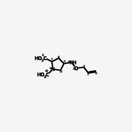 C=CCONC1CC(C(=O)O)N(C(=O)O)C1